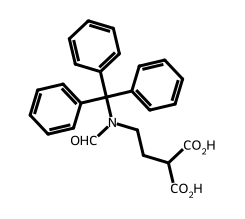 O=CN(CCC(C(=O)O)C(=O)O)C(c1ccccc1)(c1ccccc1)c1ccccc1